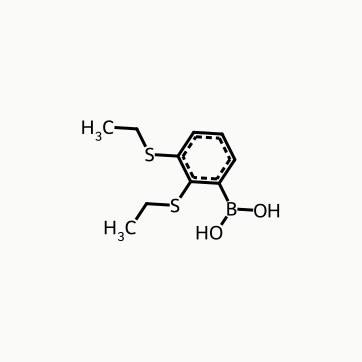 CCSc1cccc(B(O)O)c1SCC